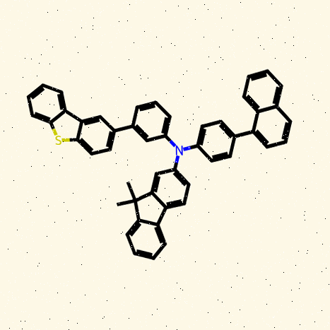 CC1(C)c2ccccc2-c2ccc(N(c3ccc(-c4cccc5ccccc45)cc3)c3cccc(-c4ccc5sc6ccccc6c5c4)c3)cc21